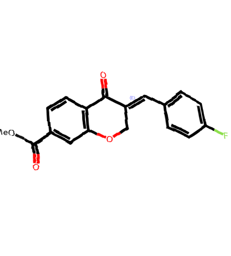 COC(=O)c1ccc2c(c1)OC/C(=C\c1ccc(F)cc1)C2=O